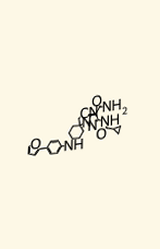 N#CCC1(n2cc(C(N)=O)c(NC(=O)C3CC3)n2)CCC(Nc2ccc(-c3ccco3)cc2)CC1